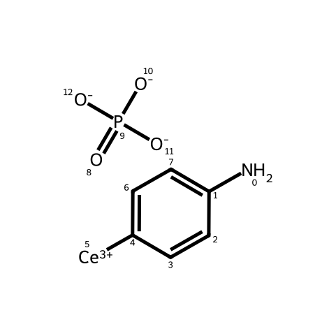 Nc1cc[c]([Ce+3])cc1.O=P([O-])([O-])[O-]